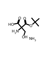 CC(C)(C)OC(=O)C(N)(CO)C(=O)O.N